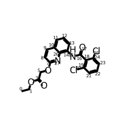 CCOC(=O)COc1ccc2cccc(NC(=O)c3c(Cl)cccc3Cl)c2n1